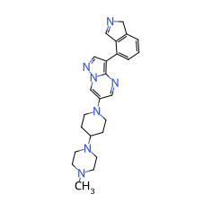 CN1CCN(C2CCN(c3cnc4c(-c5cccc6c5C=NC6)cnn4c3)CC2)CC1